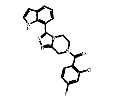 O=C(c1ccc(F)cc1Cl)N1CCn2c(nnc2-c2cccc3cc[nH]c23)C1